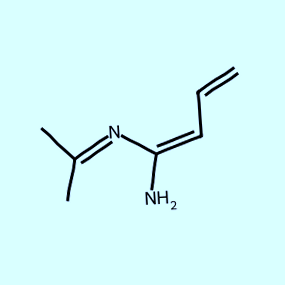 C=C/C=C(/N)N=C(C)C